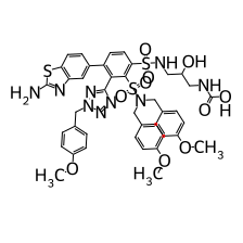 COc1ccc(CN(Cc2ccc(OC)cc2)S(=O)(=O)c2c(S(=O)(=O)NCC(O)CNC(=O)O)ccc(-c3ccc4sc(N)nc4c3)c2-c2nnn(Cc3ccc(OC)cc3)n2)cc1